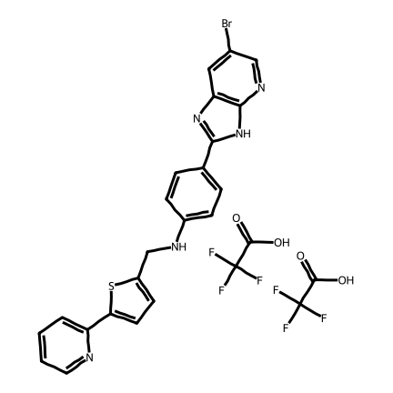 Brc1cnc2[nH]c(-c3ccc(NCc4ccc(-c5ccccn5)s4)cc3)nc2c1.O=C(O)C(F)(F)F.O=C(O)C(F)(F)F